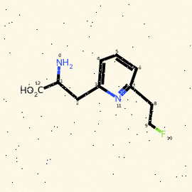 NC(Cc1cccc(CCF)n1)C(=O)O